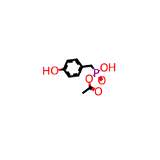 CC(=O)OP(=O)(O)Cc1ccc(O)cc1